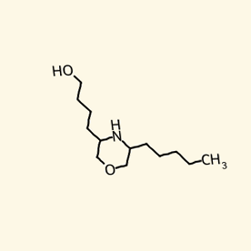 CCCCCC1COCC(CCCCO)N1